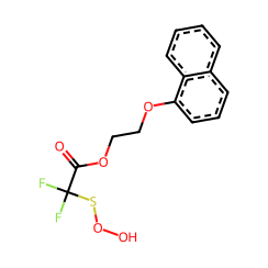 O=C(OCCOc1cccc2ccccc12)C(F)(F)SOO